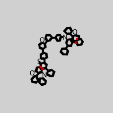 c1ccc(-c2cc(-c3ccccc3)cc(N(c3ccc(-c4ccc5oc6ccc(-c7ccc8c(c7)sc7ccc(-c9ccccc9N(c9ccccc9)c9cccc%10oc%11ccccc%11c9%10)cc78)cc6c5c4)cc3)c3cccc4oc5ccccc5c34)c2)cc1